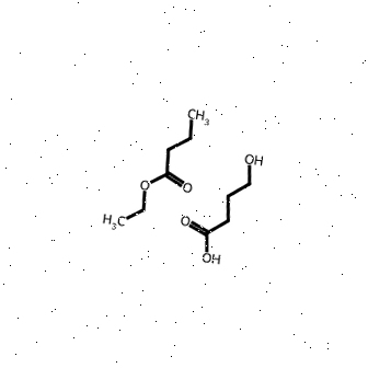 CCCC(=O)OCC.O=C(O)CCCO